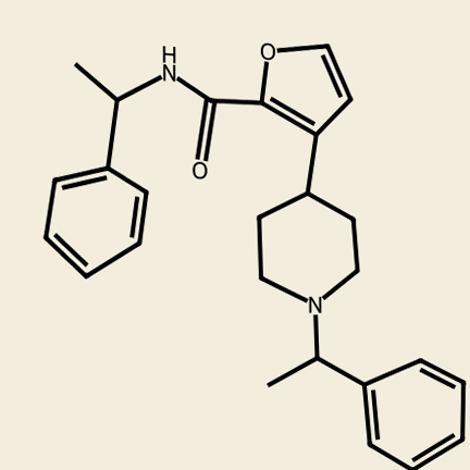 CC(NC(=O)c1occc1C1CCN(C(C)c2ccccc2)CC1)c1ccccc1